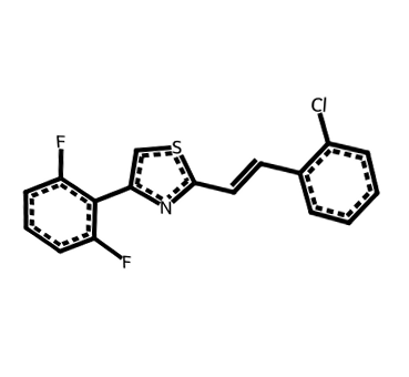 Fc1cccc(F)c1-c1csc(/C=C/c2ccccc2Cl)n1